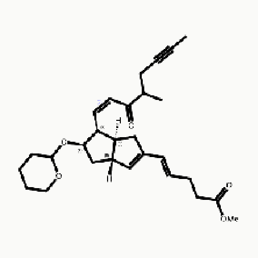 CC#CCC(C)C(=O)/C=C\[C@H]1[C@H]2CC(C=CCCC(=O)OC)=C[C@@H]2C[C@H]1OC1CCCCO1